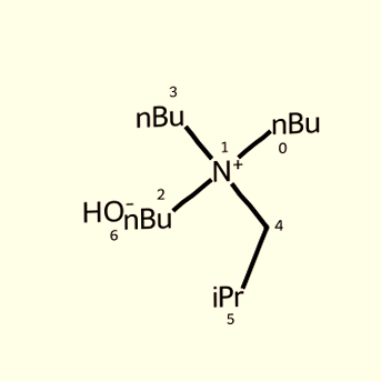 CCCC[N+](CCCC)(CCCC)CC(C)C.[OH-]